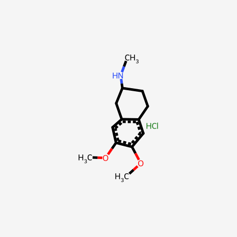 CNC1CCc2cc(OC)c(OC)cc2C1.Cl